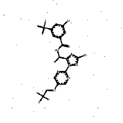 CC(NC(=O)c1cc(Cl)cc(C(F)(F)F)c1)c1nc(Br)nn1-c1ncc(OCC(F)(F)F)cn1